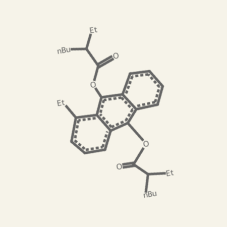 CCCCC(CC)C(=O)Oc1c2ccccc2c(OC(=O)C(CC)CCCC)c2c(CC)cccc12